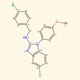 CCCOc1ccc(-n2c(NCc3ccc(Br)cc3)nc3cc(Cl)ccc32)cc1